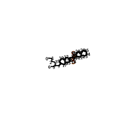 CCCCC(CC)Cc1ccc2cc3c(cc2c1)sc1c2cc4ccccc4cc2sc31